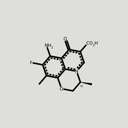 Cc1c(F)c(N)c2c(=O)c(C(=O)O)cn3c2c1OC[C@@H]3C